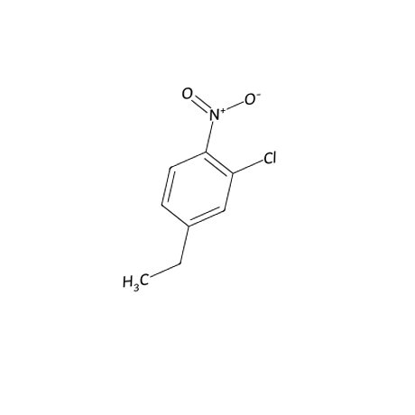 CCc1ccc([N+](=O)[O-])c(Cl)c1